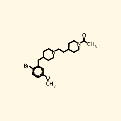 COc1ccc(Br)c(CC2CCN(CCC3CCN(C(C)=O)CC3)CC2)c1